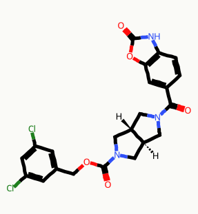 O=C(OCc1cc(Cl)cc(Cl)c1)N1C[C@@H]2CN(C(=O)c3ccc4[nH]c(=O)oc4c3)C[C@H]2C1